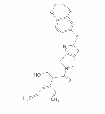 C=C/C=C(\C=C)C(CO)C(=O)N1Cc2cn(Sc3ccc4c(c3)OCCO4)nc2C1